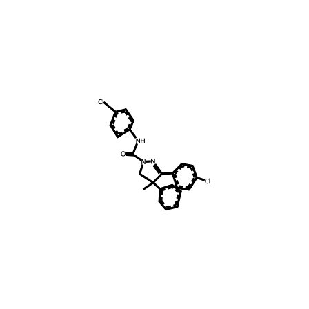 CC1(c2ccccc2)CN(C(=O)Nc2ccc(Cl)cc2)N=C1c1ccc(Cl)cc1